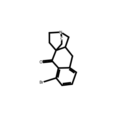 O=C1c2c(Br)cccc2CC2CN3CCC12CC3